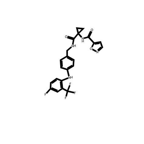 O=C(NC1(C(=O)NCc2ccc(Nc3ccc(F)cc3C(F)(F)F)cc2)CC1)c1ccno1